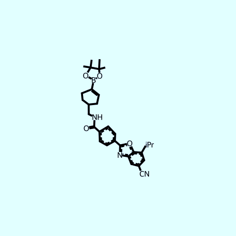 CC(C)c1cc(C#N)cc2nc(-c3ccc(C(=O)NCC4CC=C(B5OC(C)(C)C(C)(C)O5)CC4)cc3)oc12